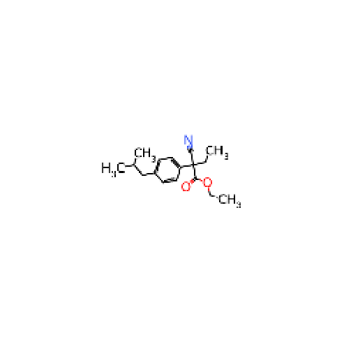 CCOC(=O)C(C#N)(CC)c1ccc(CC(C)C)cc1